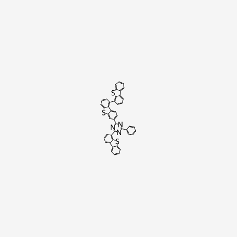 c1ccc(-c2nc(-c3ccc4c(c3)sc3cccc(-c5cccc6c5sc5ccccc56)c34)nc(-c3cccc4c3sc3ccccc34)n2)cc1